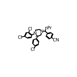 CCCC(c1ccc(C#N)cc1)N1CCN(c2ccc(Cl)cc2Cl)[C@H](c2ccc(Cl)cc2)C1